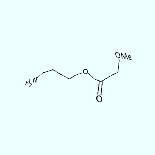 COCC(=O)OCCN